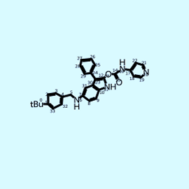 CC(C)(C)c1ccc(CNc2ccc3[nH]c(OC(=O)Nc4ccncc4)c(-c4ccccc4)c3c2)cc1